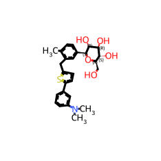 Cc1ccc([C@@H]2O[C@H](CO)[C@@H](O)[C@H](O)[C@H]2O)cc1Cc1ccc(-c2cccc(N(C)C)c2)s1